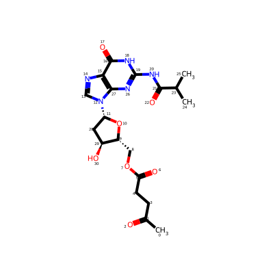 CC(=O)CCC(=O)OC[C@H]1O[C@@H](n2cnc3c(=O)[nH]c(NC(=O)C(C)C)nc32)C[C@@H]1O